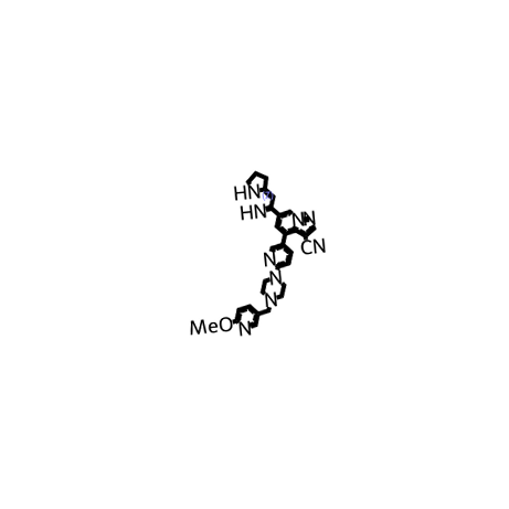 COc1ccc(CN2CCN(c3ccc(-c4cc(C(=N)/C=C5/CCCN5)cn5ncc(C#N)c45)cn3)CC2)cn1